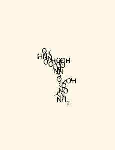 Cc1cn([C@H]2CC(OCc3cn(C[C@H]4O[C@@H](n5cc(C)c(=O)[nH]c5=O)CC4OP(=O)(O)O)nn3)[C@@H](CO)O2)c(=O)nc1N